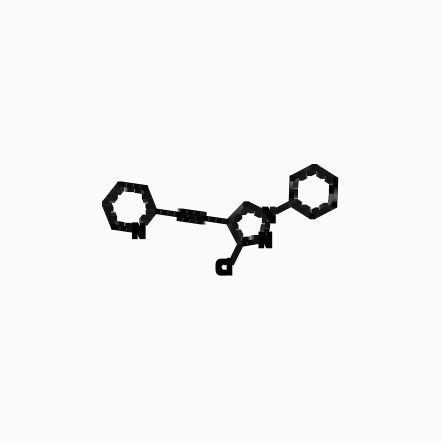 Clc1nn(-c2ccccc2)cc1C#Cc1ccccn1